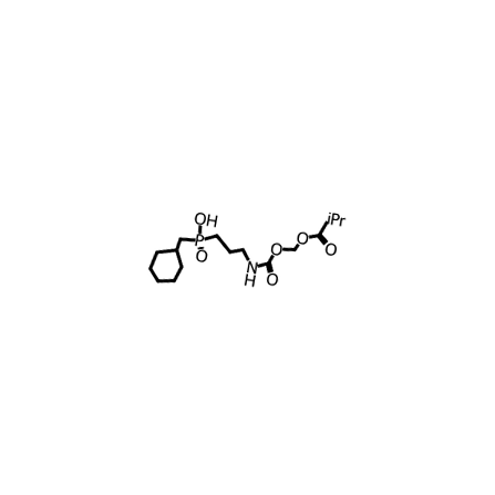 CC(C)C(=O)OCOC(=O)NCCCP(=O)(O)CC1CCCCC1